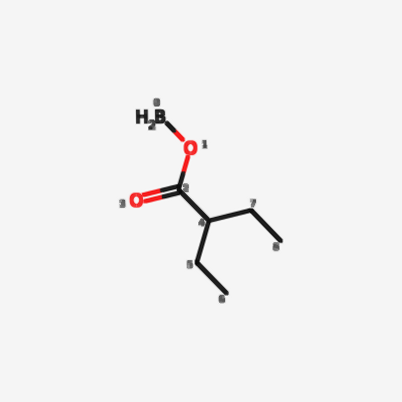 BOC(=O)C(CC)CC